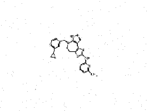 Cc1cccc(Nc2nc3c(s2)CCN(Cc2ccnc(C4CC4)c2)c2[nH]ncc2-3)n1